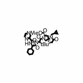 COC(=O)[C@@H]1CC2(CN1C(=O)C(NC(=O)[C@@H](NC(=O)c1cnccn1)C1CCCCC1)C(C)(C)C)SCC(=O)N2CC1CC1